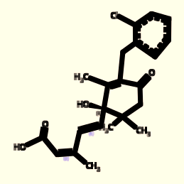 CC1=C(Cc2ccccc2Cl)C(=O)CC(C)(C)[C@]1(O)/C=C/C(C)=C\C(=O)O